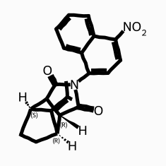 CC(C)=C1[C@H]2CC[C@@H]1[C@H]1C(=O)N(c3ccc([N+](=O)[O-])c4ccccc34)C(=O)C21